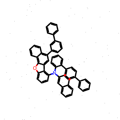 c1ccc(-c2ccc(-c3ccccc3N(c3ccc4ccccc4c3)c3cccc4oc5c6ccccc6c(-c6cccc(-c7ccccc7)c6)cc5c34)cc2)cc1